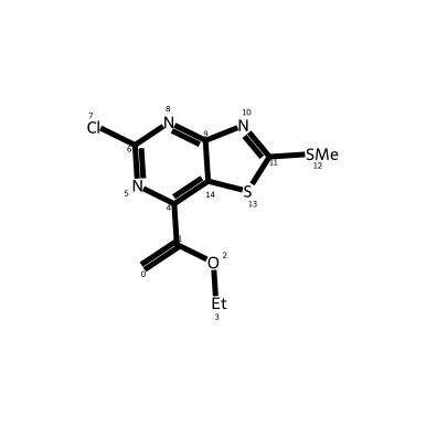 C=C(OCC)c1nc(Cl)nc2nc(SC)sc12